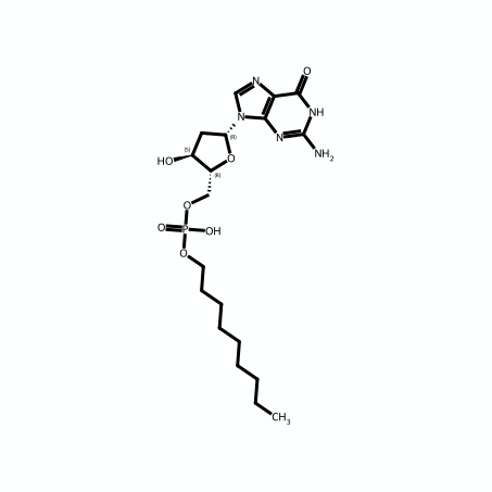 CCCCCCCCCOP(=O)(O)OC[C@H]1O[C@@H](n2cnc3c(=O)[nH]c(N)nc32)C[C@@H]1O